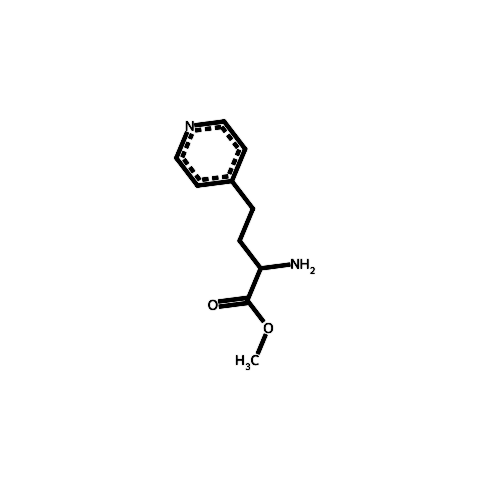 COC(=O)C(N)CCc1ccncc1